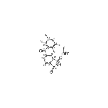 CCCC.Cc1cc(C)c(C)c(C(=O)c2ccc3c(c2)C(=O)NC3=O)c1C